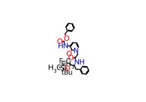 CC(C)(C)[Si](C)(C)OC(C(Cc1ccccc1)NC(=O)Cn1cccc(NC(=O)OCc2ccccc2)c1=O)C(F)(F)F